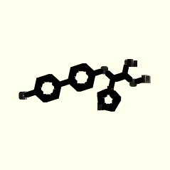 CCO/C(=C(/Oc1ccc(-c2ccc(Cl)cc2)cc1)n1ccnc1)C(C)(C)C